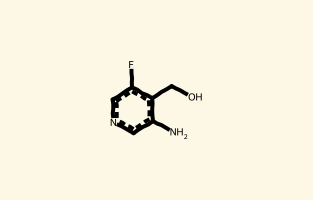 Nc1cncc(F)c1CO